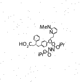 CC(C)OC(=O)N=NC(=O)OC(C)C.CNc1cccc(CCOc2ccc(C[C@@H](CC(=O)O)c3ccccc3)cc2)n1